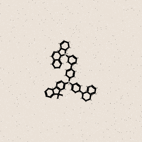 CC1(C)C2=CC=CCC2c2ccc(N(C3=CCC(C4CCCc5ccccc54)C=C3)C3C=CC(C4=CC=CC(N5C6CCC=CC6C6C=CC7=CCCC=C7C65)C4)=CC3)cc21